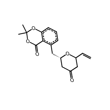 C=CC1CC(=O)C[C@H](Cc2cccc3c2C(=O)OC(C)(C)O3)O1